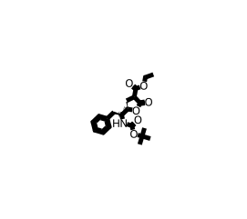 CCOC(=O)C1C[C@@H]([C@H](Cc2ccccc2)NC(=O)OC(C)(C)C)OC1=O